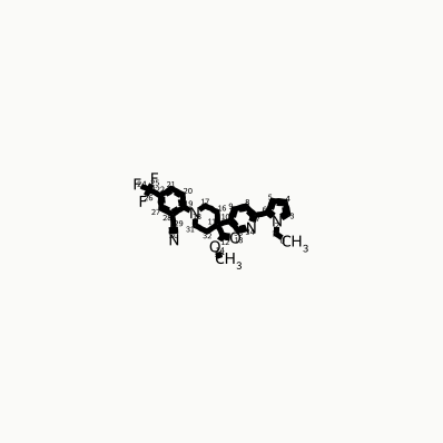 CCn1cccc1-c1ccc(C2(C(=O)OC)CCN(c3ccc(C(F)(F)F)cc3C#N)CC2)cn1